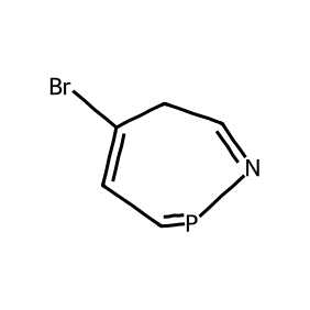 BrC1=CC=PN=CC1